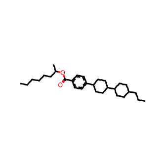 CCCCCCC(C)OC(=O)c1ccc(C2CCC(C3CCC(CCC)CC3)CC2)cc1